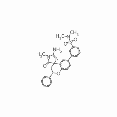 CN1C(=O)C2(C[C@H](c3ccccc3)Oc3ccc(-c4cccc(S(=O)(=O)N(C)C)c4)cc32)N=C1N